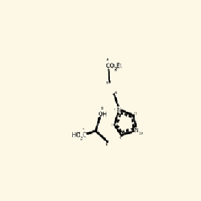 CC(O)C(=O)O.CCOC(C)=O.Cn1ccnc1